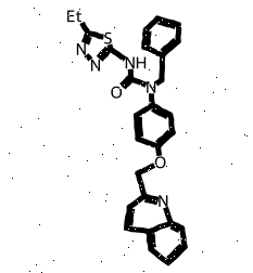 CCc1nnc(NC(=O)N(Cc2ccccc2)c2ccc(OCc3ccc4ccccc4n3)cc2)s1